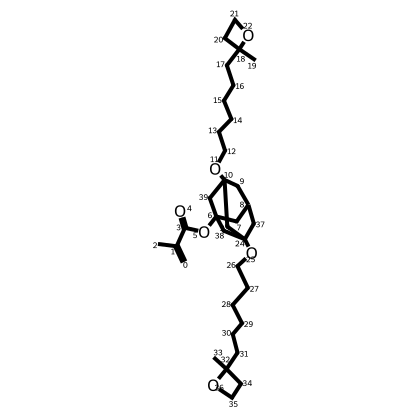 C=C(C)C(=O)OC12CC3CC(OCCCCCCC4(C)CCO4)(CC(OCCCCCCC4(C)CCO4)(C3)C1)C2